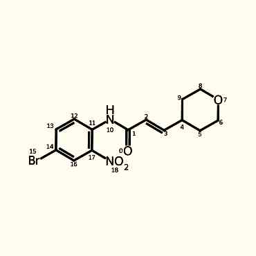 O=C(C=CC1CCOCC1)Nc1ccc(Br)cc1[N+](=O)[O-]